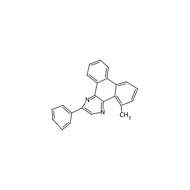 Cc1cccc2c3ccccc3c3nc(-c4ccccc4)cnc3c12